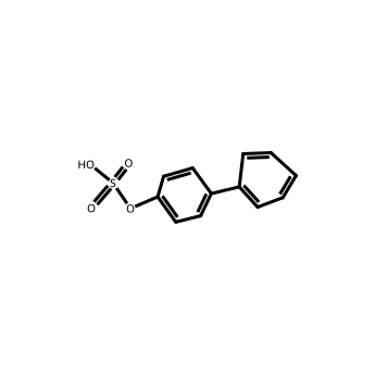 O=S(=O)(O)Oc1ccc(-c2ccccc2)cc1